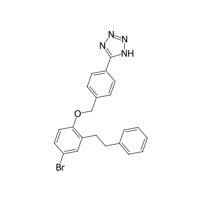 Brc1ccc(OCc2ccc(-c3nnn[nH]3)cc2)c(CCc2ccccc2)c1